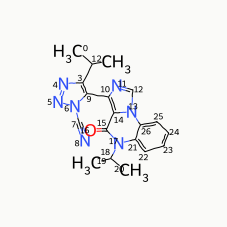 CC(C)c1nnn(C#N)c1-c1ncn2c1c(=O)n(C(C)C)c1ccccc12